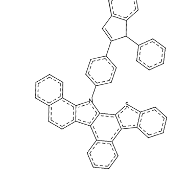 C1=C(c2ccc(-n3c4c5ccccc5ccc4c4c5ccccc5c5c6ccccc6sc5c43)cc2)C(c2ccccc2)c2ccccc21